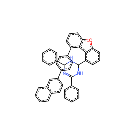 c1ccc(C2=NC(c3ccccc3)NC(c3cccc4oc5cccc(-c6ccc(-c7ccc8ccccc8c7)cc6)c5c34)N2)cc1